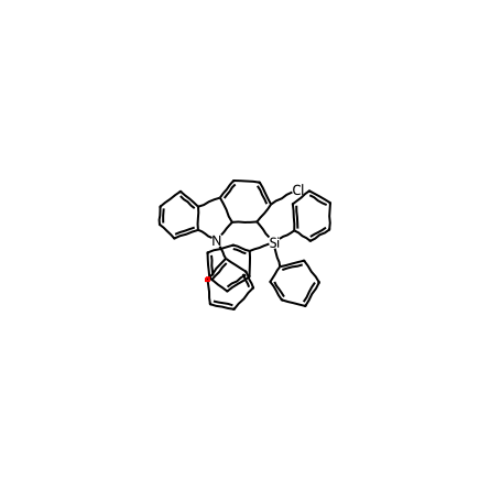 ClC1=CC=C2c3ccccc3N(c3ccccc3)C2C1[Si](c1ccccc1)(c1ccccc1)c1ccccc1